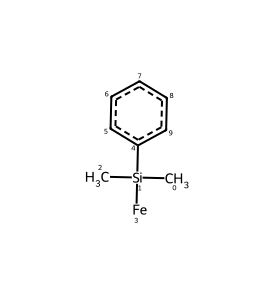 C[Si](C)([Fe])c1ccccc1